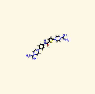 N=C(N)N1CCN(c2ccc(NC(=O)c3ccc(N4CCN(C(=N)N)CC4)s3)cc2)CC1